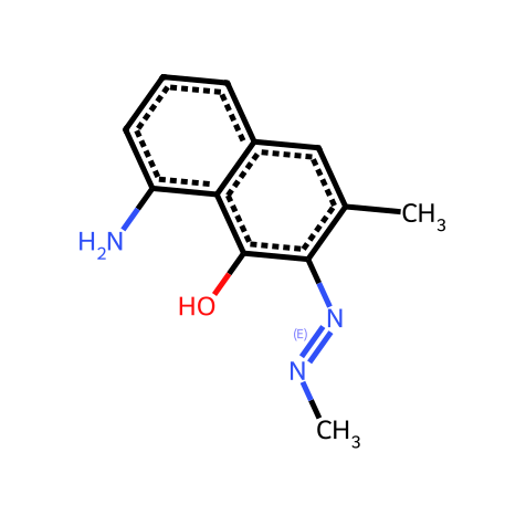 C/N=N/c1c(C)cc2cccc(N)c2c1O